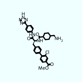 COC(=O)c1ccc(-c2ccc(C[C@H](NC(=O)C3CCC(CN)CC3)C(=O)Nc3ccc(-c4nn[nH]n4)cc3)cc2)c(Cl)c1